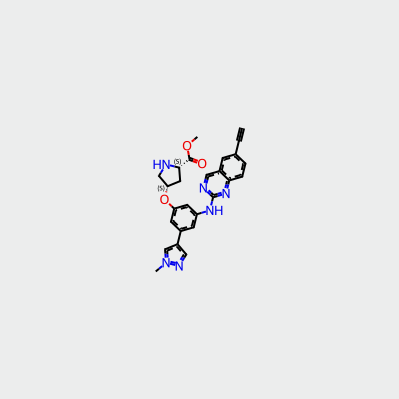 C#Cc1ccc2nc(Nc3cc(O[C@@H]4CN[C@H](C(=O)OC)C4)cc(-c4cnn(C)c4)c3)ncc2c1